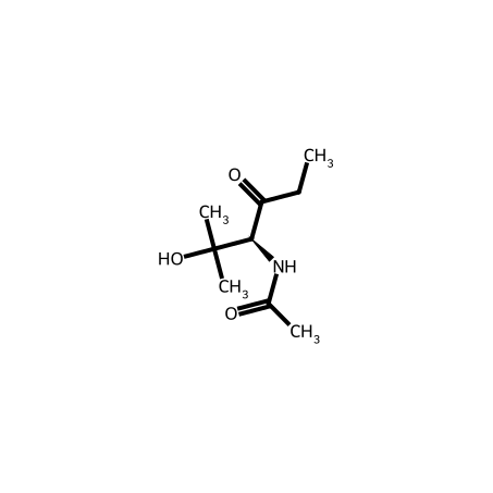 CCC(=O)[C@@H](NC(C)=O)C(C)(C)O